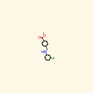 COC(=O)c1ccc(CNc2cccc(F)c2)cc1